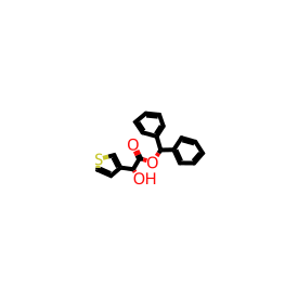 O=C(OC(c1ccccc1)c1ccccc1)C(O)c1ccsc1